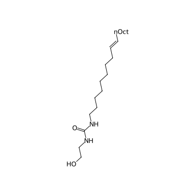 CCCCCCCCC=CCCCCCCCCNC(=O)NCCO